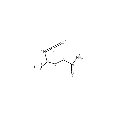 NC(=O)CCC(N=C=O)C(=O)O